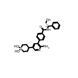 Nc1ncc(C2CCS(O)(O)CC2)cc1-c1ccc(C(=O)N[C@H](CO)c2ccccc2)cc1